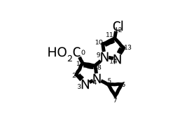 O=C(O)c1cnn(C2CC2)c1-n1cc(Cl)cn1